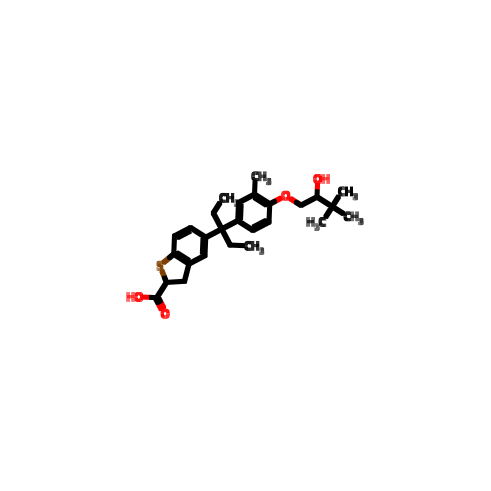 CCC(CC)(c1ccc(OCC(O)C(C)(C)C)c(C)c1)c1ccc2c(c1)CC(C(=O)O)S2